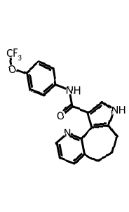 O=C(Nc1ccc(OC(F)(F)F)cc1)c1c[nH]c2c1-c1ncccc1CCC2